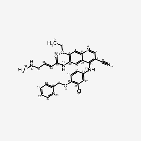 CCOc1cc2ncc(C#N)c(Nc3ccc(OCc4ccccn4)c(Cl)c3)c2cc1NC(=O)C=CCNC